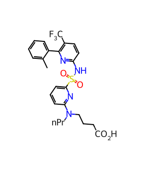 CCCN(CCCC(=O)O)c1cccc(S(=O)(=O)Nc2ccc(C(F)(F)F)c(-c3ccccc3C)n2)n1